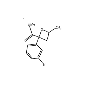 COC(=O)C1(c2cccc(Br)c2)CC(C)O1